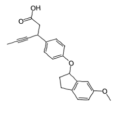 CC#CC(CC(=O)O)c1ccc(OC2CCc3ccc(OC)cc32)cc1